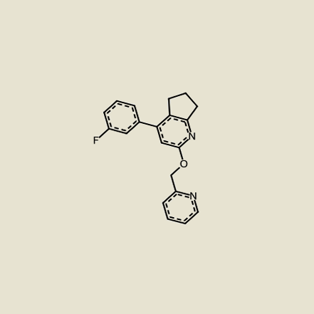 Fc1cccc(-c2cc(OCc3ccccn3)nc3c2CCC3)c1